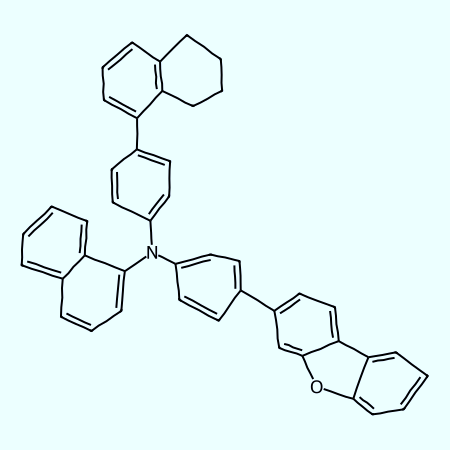 c1cc2c(c(-c3ccc(N(c4ccc(-c5ccc6c(c5)oc5ccccc56)cc4)c4cccc5ccccc45)cc3)c1)CCCC2